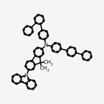 CC1(C)c2cc(N(c3ccc(-c4ccc(-c5ccccc5)cc4)cc3)c3ccc(-c4ccccc4-c4ccccc4)cc3)ccc2-c2ccc(-n3c4ccccc4c4ccccc43)cc21